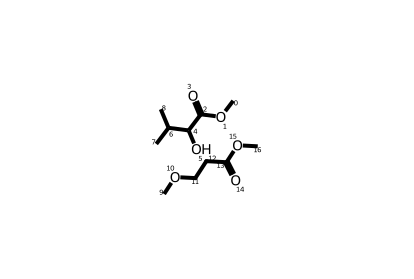 COC(=O)C(O)C(C)C.COCCC(=O)OC